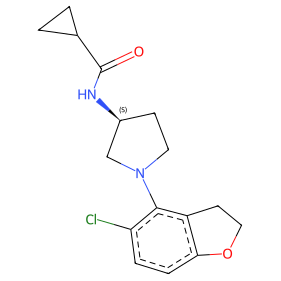 O=C(N[C@H]1CCN(c2c(Cl)ccc3c2CCO3)C1)C1CC1